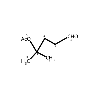 CC(=O)OC(C)(C)CCC=O